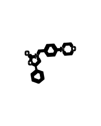 O=C1O[C@H](c2ccccc2)CN1Cc1ccc(N2CCOCC2)cc1